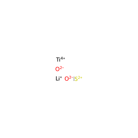 [Li+].[O-2].[O-2].[S+2].[Ti+4]